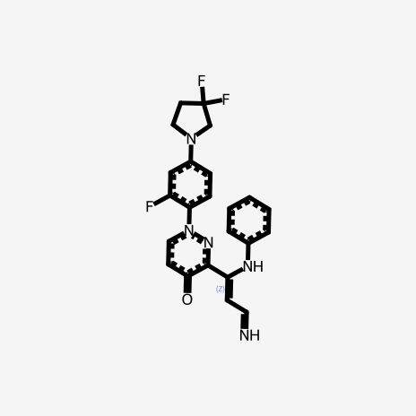 N=C/C=C(\Nc1ccccc1)c1nn(-c2ccc(N3CCC(F)(F)C3)cc2F)ccc1=O